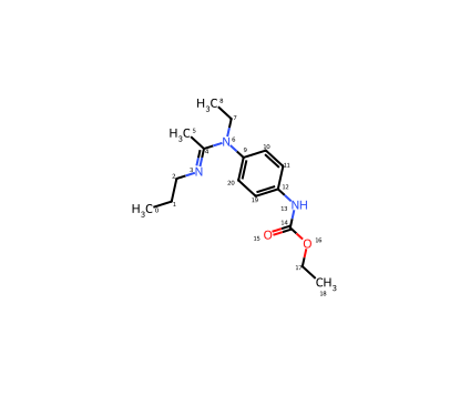 CCCN=C(C)N(CC)c1ccc(NC(=O)OCC)cc1